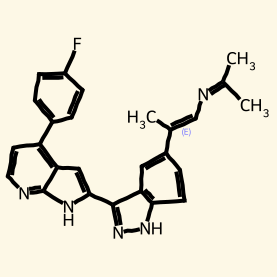 CC(C)=N/C=C(\C)c1ccc2[nH]nc(-c3cc4c(-c5ccc(F)cc5)ccnc4[nH]3)c2c1